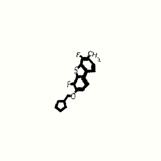 Cc1ccc2c(sc3c(F)c(OCC4CCCC4)ccc32)c1F